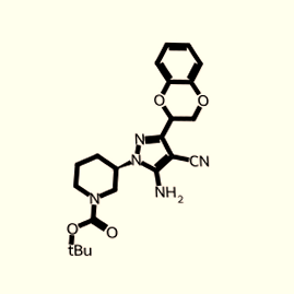 CC(C)(C)OC(=O)N1CCC[C@@H](n2nc(C3COc4ccccc4O3)c(C#N)c2N)C1